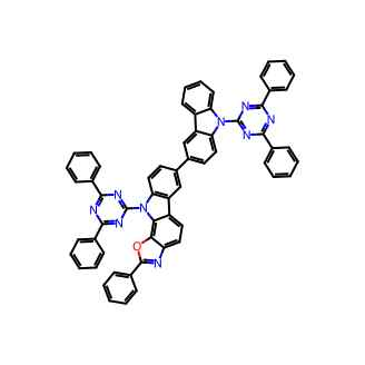 c1ccc(-c2nc(-c3ccccc3)nc(-n3c4ccccc4c4cc(-c5ccc6c(c5)c5ccc7nc(-c8ccccc8)oc7c5n6-c5nc(-c6ccccc6)nc(-c6ccccc6)n5)ccc43)n2)cc1